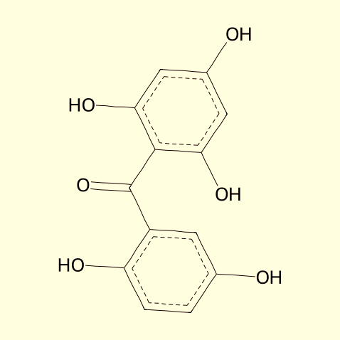 O=C(c1cc(O)ccc1O)c1c(O)cc(O)cc1O